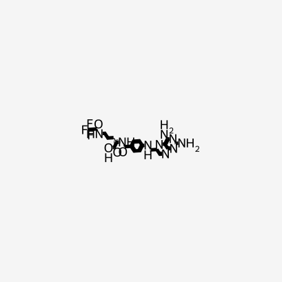 Nc1nc(N)c2nc(CNc3ccc(C(=O)N[C@@H](CCCNC(=O)C(F)(F)F)C(=O)O)cc3)cnc2n1